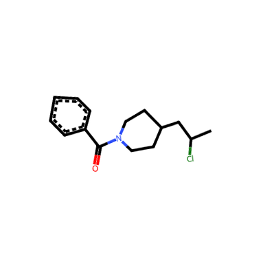 CC(Cl)CC1CCN(C(=O)c2ccccc2)CC1